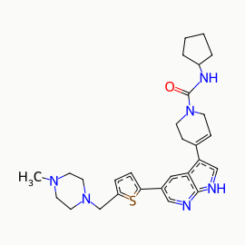 CN1CCN(Cc2ccc(-c3cnc4[nH]cc(C5=CCN(C(=O)NC6CCCC6)CC5)c4c3)s2)CC1